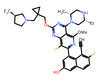 C#Cc1c(F)ccc2cc(O)cc(-c3nc(OC)c4c(N5C[C@@H](CC)NC[C@H]5C)nc(OCC5(CN6CC[C@@H](C(F)(F)F)C6)CC5)nc4c3F)c12